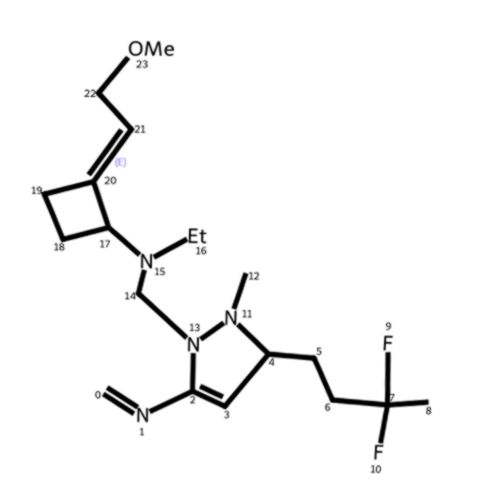 C=NC1=CC(CCC(C)(F)F)N(C)N1CN(CC)C1CC/C1=C\COC